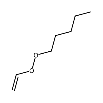 C=COOCCCCC